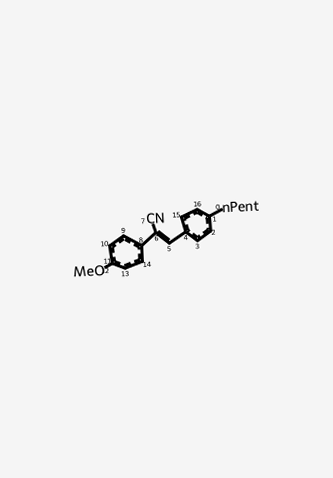 CCCCCc1ccc(/C=C(\C#N)c2ccc(OC)cc2)cc1